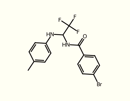 Cc1ccc(NC(NC(=O)c2ccc(Br)cc2)C(F)(F)F)cc1